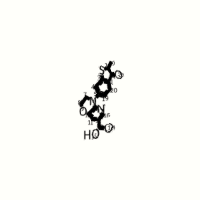 CC1Sc2cc(N3CCOc4cc(C(=O)O)cnc43)ccc2C1=O